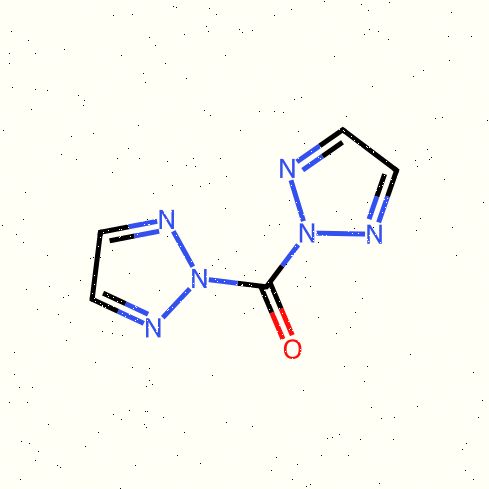 O=C(n1nccn1)n1nccn1